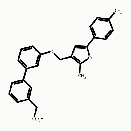 Cc1oc(-c2ccc(C(F)(F)F)cc2)cc1COc1cccc(-c2cccc(CC(=O)O)c2)c1